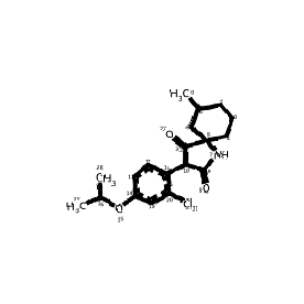 CC1CCCC2(C1)NC(=O)C(c1ccc(OC(C)C)cc1Cl)C2=O